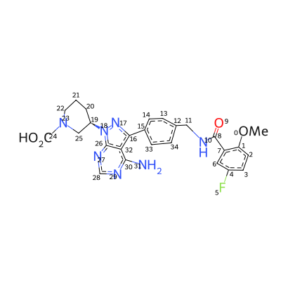 COc1ccc(F)cc1C(=O)NCc1ccc(-c2nn([C@@H]3CCCN(C(=O)O)C3)c3ncnc(N)c23)cc1